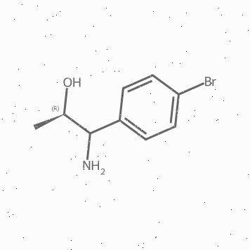 C[C@@H](O)C(N)c1ccc(Br)cc1